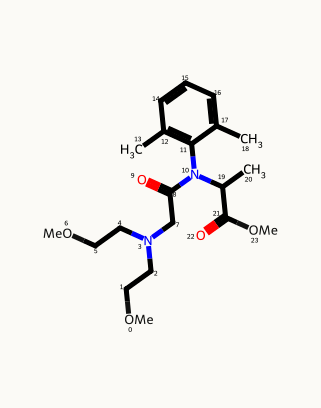 COCCN(CCOC)CC(=O)N(c1c(C)cccc1C)C(C)C(=O)OC